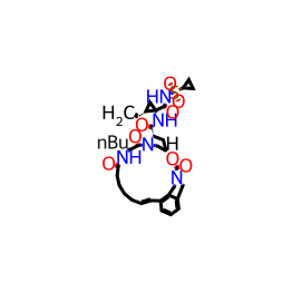 C=C[C@@H]1C[C@]1(NC(=O)[C@@H]1C[C@@H]2CN1C(=O)[C@H](CCCC)NC(=O)CCCC/C=C/c1cccc3c1CN(C3)C(=O)O2)C(=O)NS(=O)(=O)C1CC1